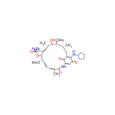 CO[C@H]1/C=C/C=C(/C)C(=O)NC2=CC(=O)C(NC3CCCC3)=C(C[C@@H](C)C[C@H](OC)[C@H](O)[C@@H](C)/C=C(\C)[C@@H]1OC(N)=O)C2=O